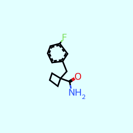 NC(=O)C1(Cc2cccc(F)c2)CCC1